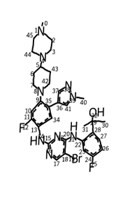 CN1CCN(C2CCN(c3cc(F)c(Nc4ncc(Br)c(Nc5cc(F)ccc5C(C)(C)O)n4)cc3-c3cnn(C)c3)CC2)CC1